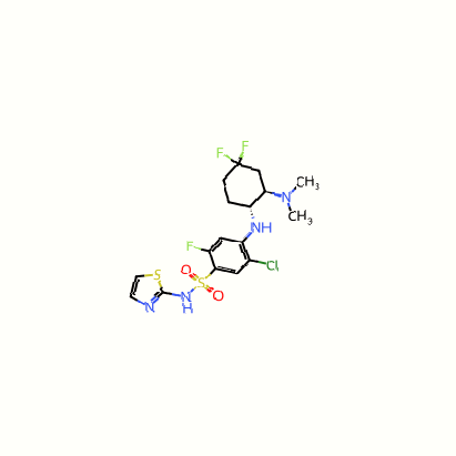 CN(C)[C@@H]1CC(F)(F)CC[C@H]1Nc1cc(F)c(S(=O)(=O)Nc2nccs2)cc1Cl